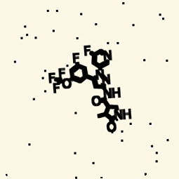 CC1C(=O)NCC1C(=O)Nc1cc(-c2cc(F)cc(OC(F)(F)F)c2)n(-c2cncc(F)c2)n1